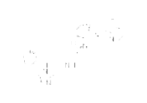 Fc1cccnc1CNc1nccc2oc(CCNCCc3ncc(Cc4cc#ccc4)[nH]3)nc12